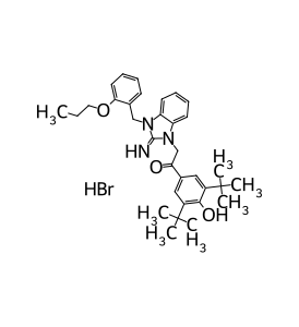 Br.CCCOc1ccccc1Cn1c(=N)n(CC(=O)c2cc(C(C)(C)C)c(O)c(C(C)(C)C)c2)c2ccccc21